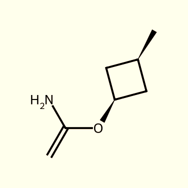 C=C(N)O[C@H]1C[C@@H](C)C1